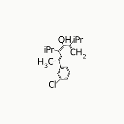 C=C(/C(O)=C(\C=C(/C)c1cccc(Cl)c1)C(C)C)C(C)C